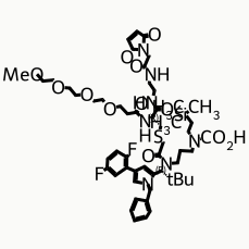 COCCOCCOCCOCCC(=O)N[C@@H](CSCC(=O)N(CCCN(CC[Si](C)(C)C)C(=O)O)[C@@H](c1cc(-c2cc(F)ccc2F)cn1Cc1ccccc1)C(C)(C)C)C(=O)NCCNC(=O)CN1C(=O)C=CC1=O